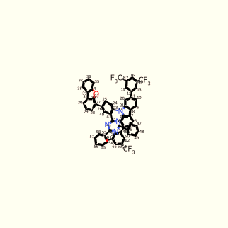 Cc1cc(-c2ccc3c4ccc(-c5cc(C(F)(F)F)cc(C(F)(F)F)c5)cc4n(-c4ccc(-c5cccc6c5oc5ccccc56)cc4-c4nc(-c5ccccc5)nc(-c5ccccc5)n4)c3c2)cc(C(F)(F)F)c1